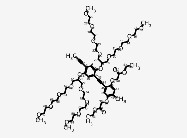 CC#Cc1cc(OC(COCCOCCOCCOC)COCCOCCOCCOC)c(C#Cc2cc(OCC(=O)OCC)c(C)cc2OCC(=O)OCC)cc1OC(COCCOCCOCCOC)COCCOCCOCCOC